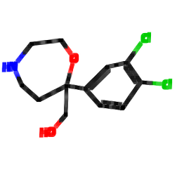 OCC1(c2ccc(Cl)c(Cl)c2)CCNCCO1